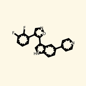 Fc1cccc(-c2cnoc2-c2c[nH]c3ccc(-c4ccncc4)cc23)c1F